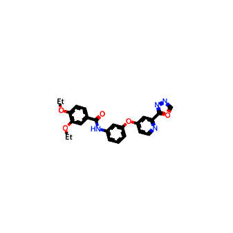 CCOc1ccc(C(=O)Nc2cccc(Oc3ccnc(-c4nnco4)c3)c2)cc1OCC